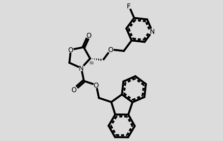 O=C1OCN(C(=O)OCC2c3ccccc3-c3ccccc32)[C@H]1COCc1cncc(F)c1